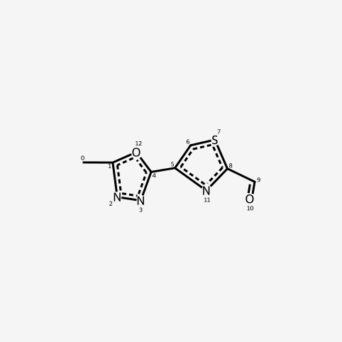 Cc1nnc(-c2csc(C=O)n2)o1